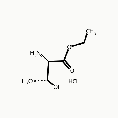 CCOC(=O)[C@@H](N)[C@@H](C)O.Cl